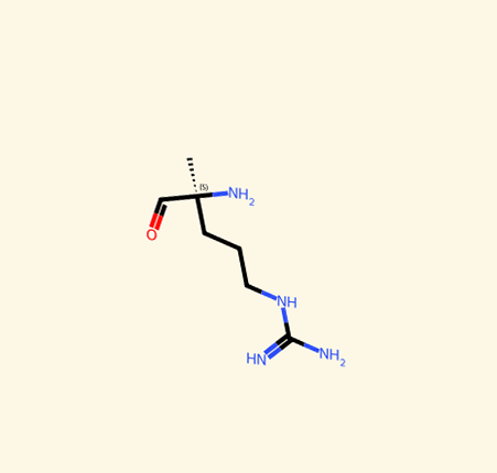 C[C@@](N)(C=O)CCCNC(=N)N